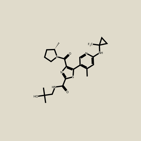 Cc1cc(NC2(C(F)(F)F)CC2)ncc1-c1sc(C(=O)NCC(C)(C)O)nc1C(=O)N1CCC[C@@H]1C